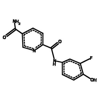 NC(=O)c1ccc(C(=O)Nc2ccc(O)c(F)c2)nc1